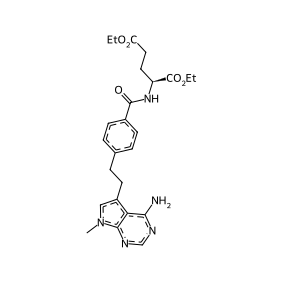 CCOC(=O)CC[C@H](NC(=O)c1ccc(CCc2cn(C)c3ncnc(N)c23)cc1)C(=O)OCC